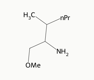 CCCC(C)C(N)COC